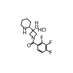 Cl.O=C(c1ccc(F)c(F)c1F)N1CC(O)([C@@H]2CCCCN2)C1